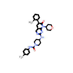 Cc1ccccc1-c1cc2cnc(NC3CCN(C(=O)Nc4ccc(C(F)(F)F)cc4)CC3)nc2n(C2CCOCC2)c1=O